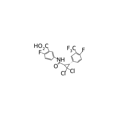 O=C(O)c1cc(NC(=O)C2[C@H](c3ccc(F)c(C(F)(F)F)c3)C2(Cl)Cl)ccc1F